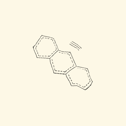 C#C.c1ccc2cc3ccccc3cc2c1